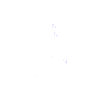 CN(Cc1cccc2ccccc12)c1ccc([N+]#N)cc1